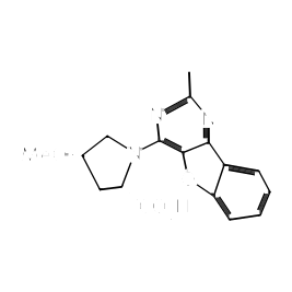 CO[C@H]1C[C@@H](C(=O)O)N(c2nc(C)nc3c2oc2ccccc23)C1